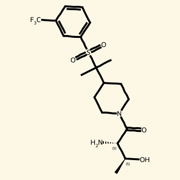 C[C@H](O)[C@H](N)C(=O)N1CCC(C(C)(C)S(=O)(=O)c2cccc(C(F)(F)F)c2)CC1